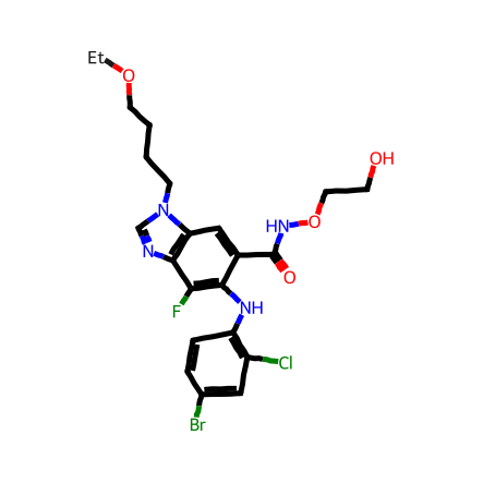 CCOCCCCn1cnc2c(F)c(Nc3ccc(Br)cc3Cl)c(C(=O)NOCCO)cc21